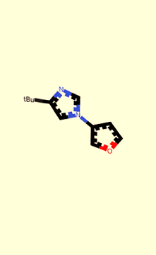 CC(C)(C)c1cn(-c2ccoc2)cn1